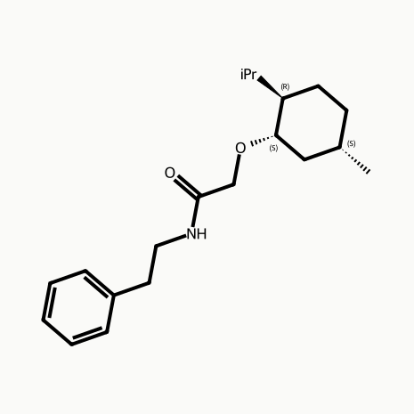 CC(C)[C@H]1CC[C@H](C)C[C@@H]1OCC(=O)NCCc1ccccc1